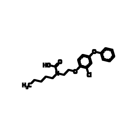 CCCCCN(CCOc1ccc(Oc2ccccc2)cc1Cl)C(=O)O